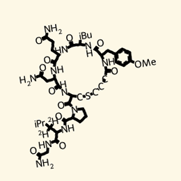 [2H]C([2H])(C(C)C)C(NC(=O)C1CCCN1C(=O)C1CSCCCC(=O)NC(Cc2ccc(OC)cc2)C(=O)NC(C(C)CC)C(=O)NC(CCC(N)=O)C(=O)NC(CC(N)=O)C(=O)N1)C(=O)NCC(N)=O